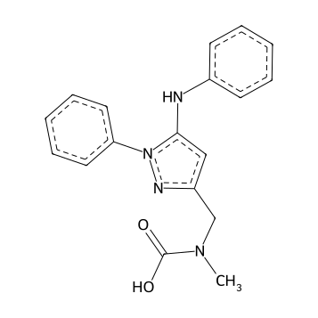 CN(Cc1cc(Nc2ccccc2)n(-c2ccccc2)n1)C(=O)O